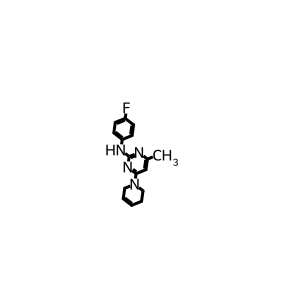 Cc1cc(N2CC=CCC2)nc(Nc2ccc(F)cc2)n1